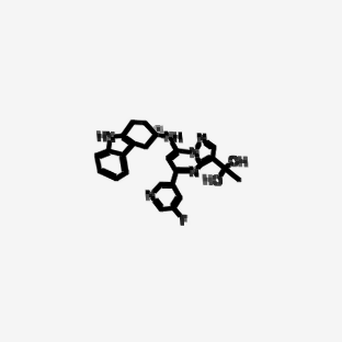 CC(O)(O)c1cnn2c(N[C@@H]3CCc4[nH]c5ccccc5c4C3)cc(-c3cncc(F)c3)nc12